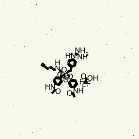 C#CCCCNC(=O)OC(Cc1ccc(NC(=N)N)cc1)P(=O)(Oc1ccc(NC(C)=O)cc1)Oc1ccc(NC(C)=O)cc1.O=C(O)C(F)(F)F